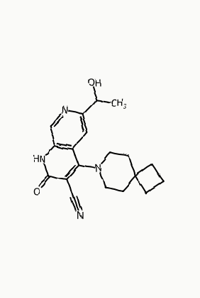 CC(O)c1cc2c(N3CCC4(CCC4)CC3)c(C#N)c(=O)[nH]c2cn1